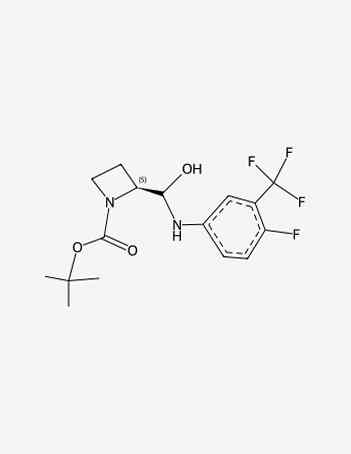 CC(C)(C)OC(=O)N1CC[C@H]1C(O)Nc1ccc(F)c(C(F)(F)F)c1